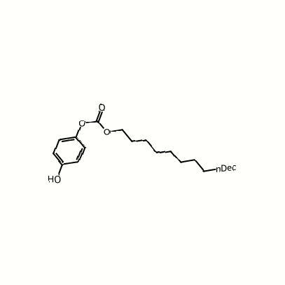 CCCCCCCCCCCCCCCCCCOC(=O)Oc1ccc(O)cc1